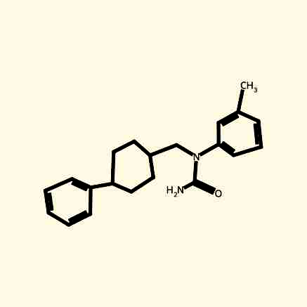 Cc1cccc(N(CC2CCC(c3ccccc3)CC2)C(N)=O)c1